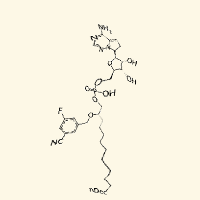 CCCCCCCCCCCCCCCCCCC[C@@H](COP(=O)(O)OC[C@H]1O[C@@H](C2CC=C3C(N)=NC=NN32)[C@H](O)[C@@H]1O)OCc1cc(F)cc(C#N)c1